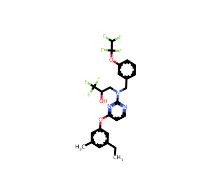 CCc1cc(C)cc(Oc2ccnc(N(Cc3cccc(OC(F)(F)C(F)F)c3)CC(O)C(F)(F)F)n2)c1